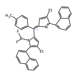 CCC1=C/C(=C(\c2ccc(C)cc2)c2cc(CC)c(-c3cccc4ccccc34)n2B(F)F)N=C1c1cccc2ccccc12